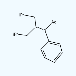 CC(=O)N(c1ccccc1)N(CC(C)C)CC(C)C